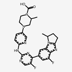 CC1CN(c2ccc(Nc3ncc(F)c(-c4cc(F)c5nc6n(c5c4)C(C)CC6)n3)nc2)CCN1C(=O)O